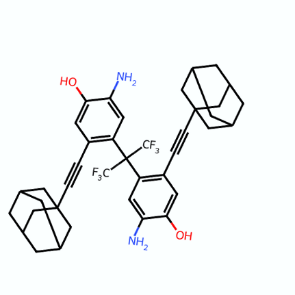 Nc1cc(C(c2cc(N)c(O)cc2C#CC23CC4CC(CC(C4)C2)C3)(C(F)(F)F)C(F)(F)F)c(C#CC23CC4CC(CC(C4)C2)C3)cc1O